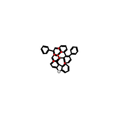 c1ccc(-c2cccc(N(c3cccc(-c4ccccc4)c3-c3ccccc3-c3ccccc3)c3cccc4oc5ccccc5c34)c2)cc1